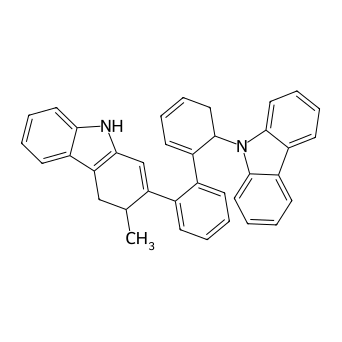 CC1Cc2c([nH]c3ccccc23)C=C1c1ccccc1C1=CC=CCC1n1c2ccccc2c2ccccc21